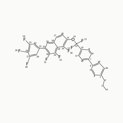 CCCc1ccc(-c2ccc(C(F)(F)Oc3ccc4cc(-c5cc(F)c(F)c(F)c5)c(F)c(F)c4c3F)cc2)cc1